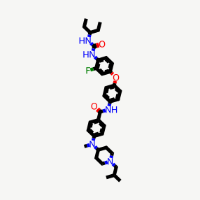 CCC(CC)NC(=O)Nc1ccc(Oc2ccc(NC(=O)c3ccc(N(C)C4CCN(CC(C)C)CC4)cc3)cc2)cc1F